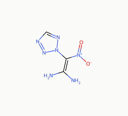 NC(N)=C(n1ncnn1)[N+](=O)[O-]